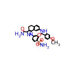 COc1ccc(C(=O)Nc2ccc3c(c2)-c2c(c(C(N)=O)nn2-c2ccc(S(N)(=O)=O)cc2)CC3)cc1